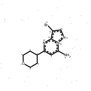 Nc1cc(C2CCOCC2)nc2c(Br)cnn12